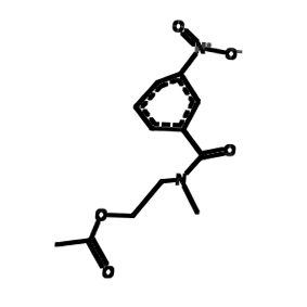 CC(=O)OCCN(C)C(=O)c1cccc([N+](=O)[O-])c1